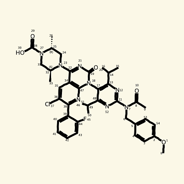 COc1ccc(CN(C(C)=O)c2nc(C(C)C)c(-n3c(=O)nc(N4C[C@@H](C)N(C(=O)O)C[C@@H]4C)c4cc(Cl)c(-c5ccccc5F)nc43)c(C(C)C)n2)cc1